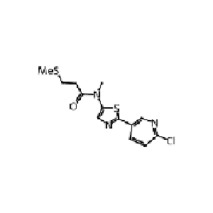 CSCCC(=O)N(C)c1cnc(-c2ccc(Cl)nc2)s1